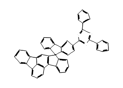 c1ccc(-c2nc(-c3ccccc3)nc(-c3ccc4c(c3)-c3ccccc3C43c4ccccc4-c4c3cc3c5c(cccc45)-c4ccccc4-3)n2)cc1